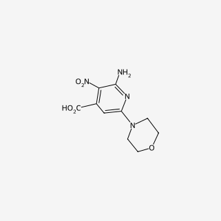 Nc1nc(N2CCOCC2)cc(C(=O)O)c1[N+](=O)[O-]